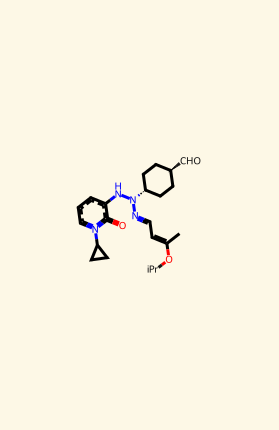 C/C(=C\C=N\N(Nc1cccn(C2CC2)c1=O)[C@H]1CC[C@H](C=O)CC1)OC(C)C